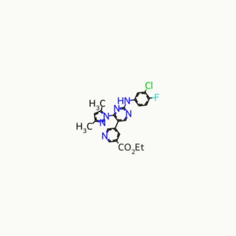 CCOC(=O)c1cncc(-c2cnc(Nc3ccc(F)c(Cl)c3)nc2-n2nc(C)cc2C)c1